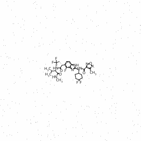 CNC(=O)[C@H](NC(=O)[C@H](CC(F)(F)F)c1ccc2[nH]c([C@@H](NC(=O)c3nonc3C)C3CCC(F)(F)CC3)nc2c1F)C(C)C